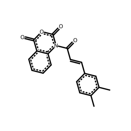 Cc1ccc(/C=C/C(=O)n2c(=O)oc(=O)c3ccccc32)cc1C